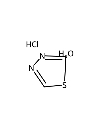 Cl.O.c1nncs1